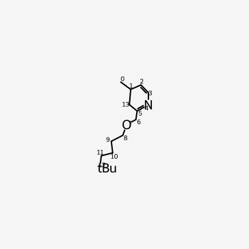 CC1C=CN=C(COCCCCC(C)(C)C)C1